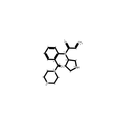 C=CC(=O)N(c1ccc[c]c1C(=O)N1CCOCC1)C1CCNC1